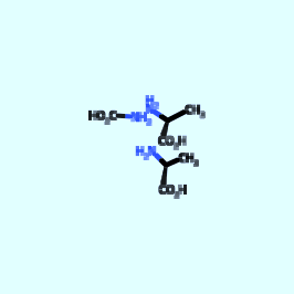 C[C@H](N)C(=O)O.C[C@H](N)C(=O)O.NC(=O)O